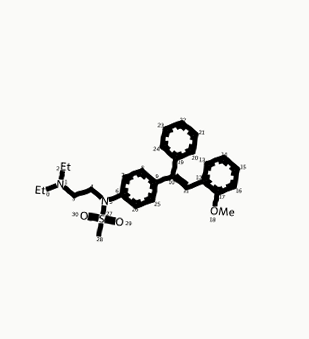 CCN(CC)CCN(c1ccc(C(=Cc2ccccc2OC)c2ccccc2)cc1)S(C)(=O)=O